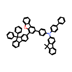 CC1(C)c2ccccc2-c2ccc(N(c3ccc(-c4ccccc4)cc3)c3ccc(-c4cc(-c5ccc6c(c5)C(c5ccccc5)(c5ccccc5)c5ccccc5-6)c5oc6ccccc6c5c4)cc3)cc21